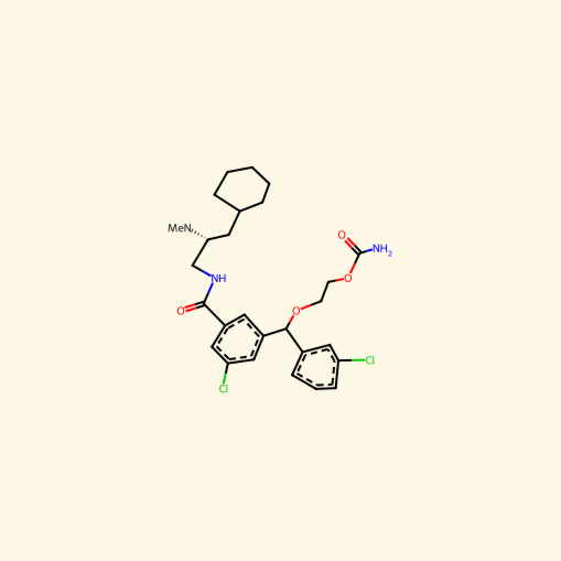 CN[C@@H](CNC(=O)c1cc(Cl)cc(C(OCCOC(N)=O)c2cccc(Cl)c2)c1)CC1CCCCC1